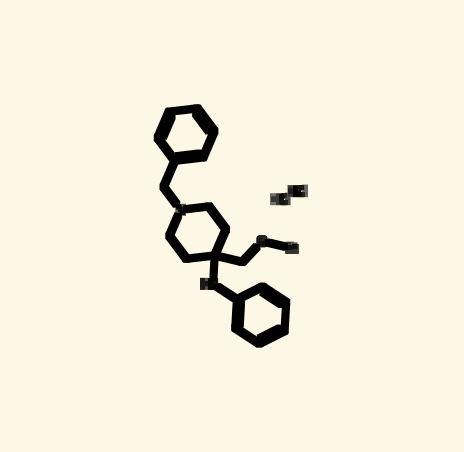 CCOCC1(Nc2ccccc2)CCN(Cc2ccccc2)CC1.Cl.Cl